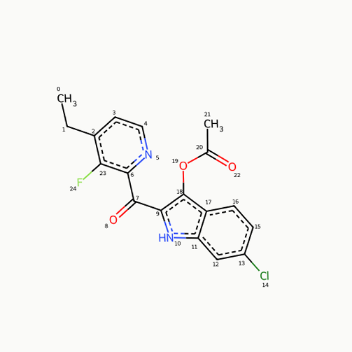 CCc1ccnc(C(=O)c2[nH]c3cc(Cl)ccc3c2OC(C)=O)c1F